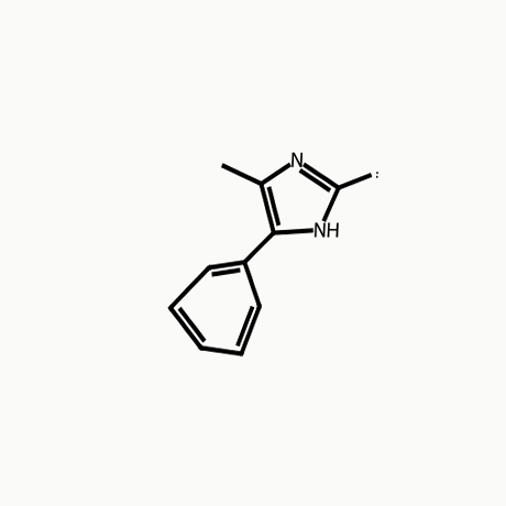 [CH]c1nc(C)c(-c2ccccc2)[nH]1